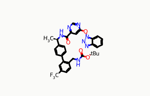 C[C@@H](NC(=O)c1cc(On2nnc3ccccc32)ncn1)c1ccc(-c2cc(C(F)(F)F)ccc2CNC(=O)OC(C)(C)C)cc1